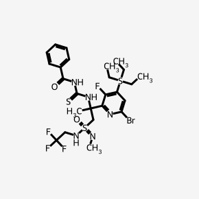 CCS(CC)(CC)c1cc(Br)nc(C(C)(CS(=O)(=NC)NCC(F)(F)F)NC(=S)NC(=O)c2ccccc2)c1F